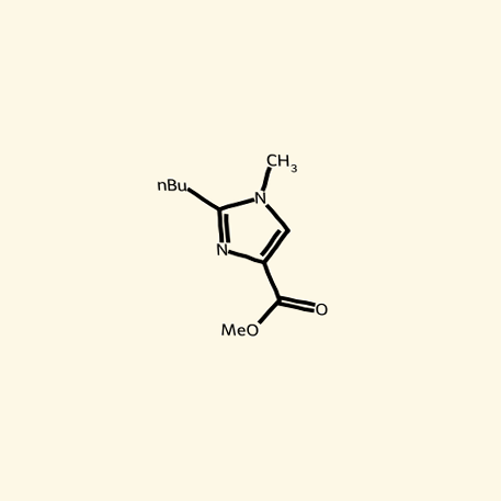 CCCCc1nc(C(=O)OC)cn1C